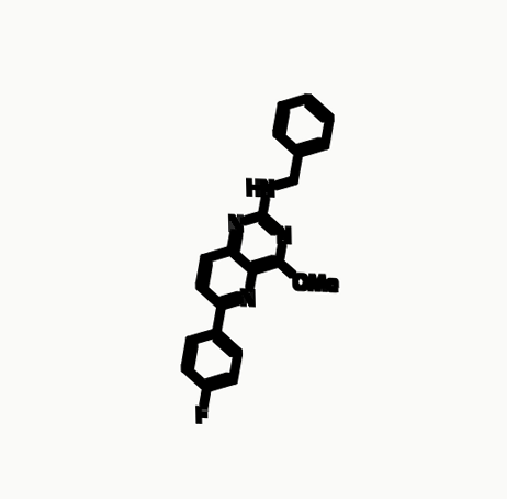 COc1nc(NCc2ccccc2)nc2ccc(-c3ccc(F)cc3)nc12